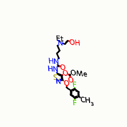 CCN(CCO)CCCCNC(=O)Nc1snc(OCc2cc(F)c(C)cc2F)c1OC(=O)OC